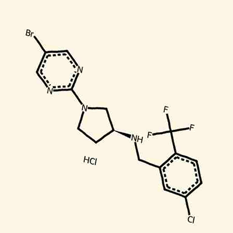 Cl.FC(F)(F)c1ccc(Cl)cc1CN[C@H]1CCN(c2ncc(Br)cn2)C1